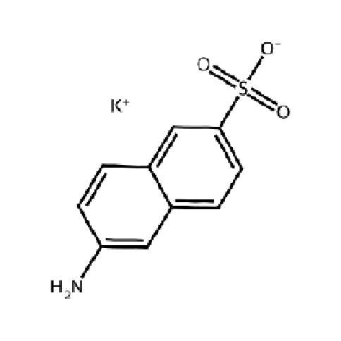 Nc1ccc2cc(S(=O)(=O)[O-])ccc2c1.[K+]